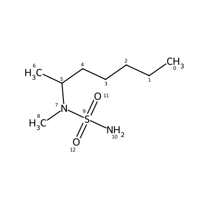 CCCCCC(C)N(C)S(N)(=O)=O